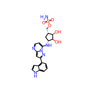 NS(=O)(=O)OC[C@H]1C[C@@H](Nc2ccnc3cc(-c4cccc5[nH]ccc45)nn23)[C@H](O)[C@@H]1O